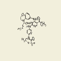 C=CC(O)N1CCOc2ccc(Nc3nc(Nc4ccc(N(C)C(=O)C(F)(F)F)nc4)ncc3C(C)=O)cc21